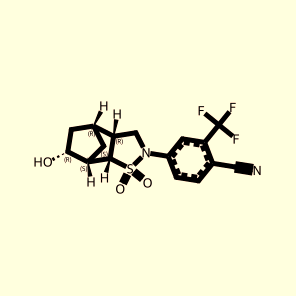 N#Cc1ccc(N2C[C@H]3[C@@H]4C[C@H]([C@H]3S2(=O)=O)[C@H](O)C4)cc1C(F)(F)F